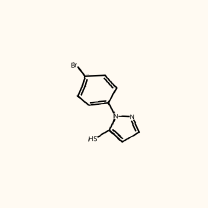 Sc1ccnn1-c1ccc(Br)cc1